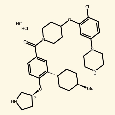 CC(C)(C)[C@H]1CC[C@H](c2cc(C(=O)N3CCC(Oc4cc(N5CCNCC5)ccc4Cl)CC3)ccc2O[C@H]2CCNC2)CC1.Cl.Cl